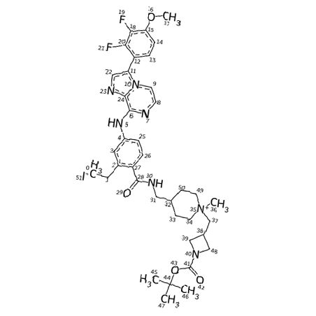 CCc1cc(Nc2nccn3c(-c4ccc(OC)c(F)c4F)cnc23)ccc1C(=O)NCC1CC[N+](C)(CC2CN(C(=O)OC(C)(C)C)C2)CC1.[I-]